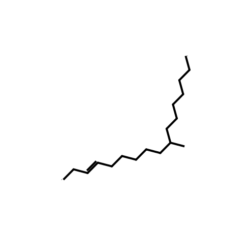 [CH2]CC=CCCCCCC(C)CCCCCC[CH2]